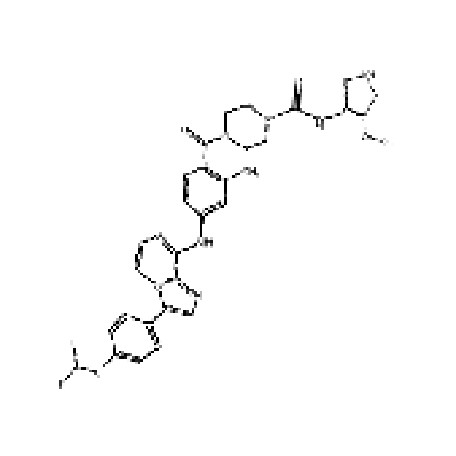 COC1CNCC1NC(=O)N1CCN(C(=O)c2ccc(Nc3nccn4c(-c5ccc(OC(F)F)cc5)cnc34)cc2C)CC1